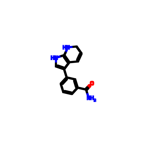 NC(=O)c1cccc(-c2c[nH]c3c2C=CCN3)c1